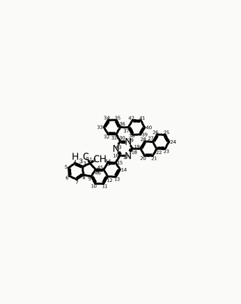 CC1(C)c2ccccc2-c2ccc3ccc(-c4nc(-c5ccc6ccccc6c5)nc(-c5ccccc5-c5ccccc5)n4)cc3c21